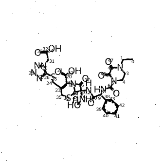 CCN1CCN(C(=O)NC(C(=O)N[C@]2(NO)C(=O)N3C(C(=O)O)=C(CSc4nnnn4CC(=O)O)CS[C@@H]32)c2ccccc2)C(=O)C1=O